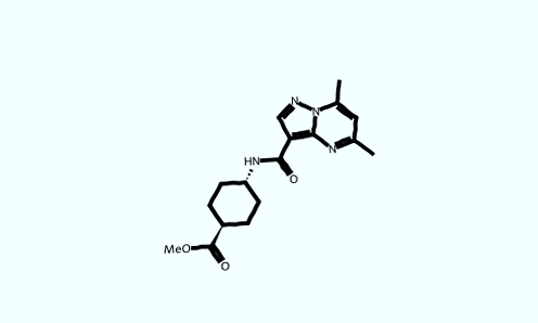 COC(=O)[C@H]1CC[C@H](NC(=O)c2cnn3c(C)cc(C)nc23)CC1